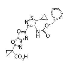 O=C(Nc1c(-c2nc3nc(C4(C(=O)O)CC4)oc3o2)nsc1C1CC1)OCc1ccccc1